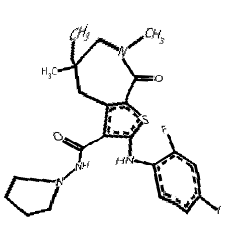 CN1CC(C)(C)Cc2c(sc(Nc3ccc(I)cc3F)c2C(=O)NN2CCCC2)C1=O